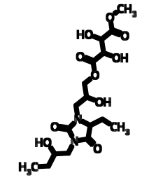 CCC(O)CN1C(=O)C(CC)N(CC(O)COC(=O)C(O)C(O)C(=O)OC)C1=O